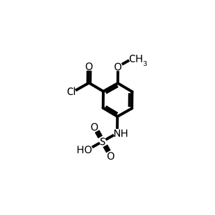 COc1ccc(NS(=O)(=O)O)cc1C(=O)Cl